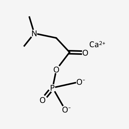 CN(C)CC(=O)OP(=O)([O-])[O-].[Ca+2]